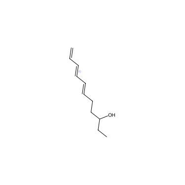 C=C/C=C/C=CCCC(O)CC